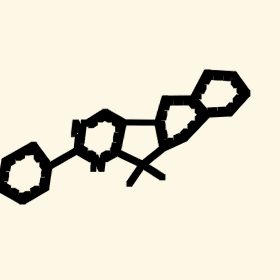 CC1(C)c2cc3ccccc3cc2-c2cnc(-c3ccccc3)nc21